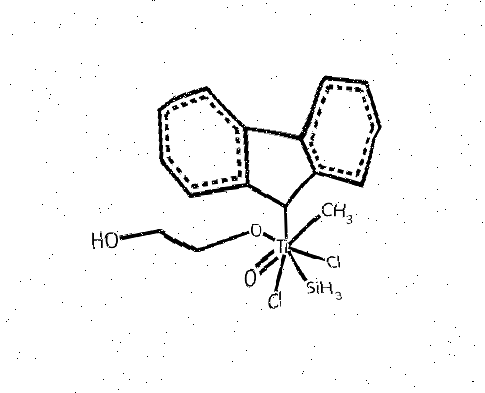 [CH3][Ti](=[O])([SiH3])([Cl])([Cl])([O]CCO)[CH]1c2ccccc2-c2ccccc21